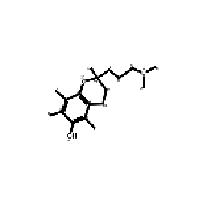 Cc1c(C)c2c(c(C)c1O)CCC(C)(CCCN(C)C)O2